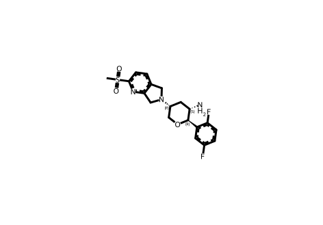 CS(=O)(=O)c1ccc2c(n1)CN([C@H]1CO[C@H](c3cc(F)ccc3F)[C@@H](N)C1)C2